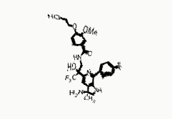 COc1cc(C(=O)NC[C@@](O)(c2cc3c(c(-c4ccc(F)cc4)n2)NC[C@]3(C)N)C(F)(F)F)ccc1OCCO